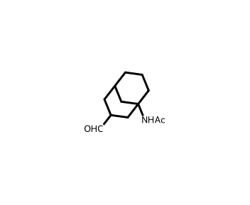 CC(=O)NC12CCCC(CC(C=O)C1)C2